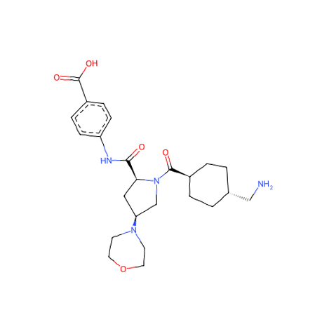 NC[C@H]1CC[C@H](C(=O)N2C[C@@H](N3CCOCC3)C[C@H]2C(=O)Nc2ccc(C(=O)O)cc2)CC1